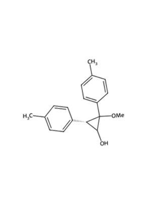 COC1(c2ccc(C)cc2)C(O)[C@@H]1c1ccc(C)cc1